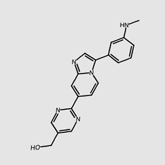 CNc1cccc(-c2cnc3cc(-c4ncc(CO)cn4)ccn23)c1